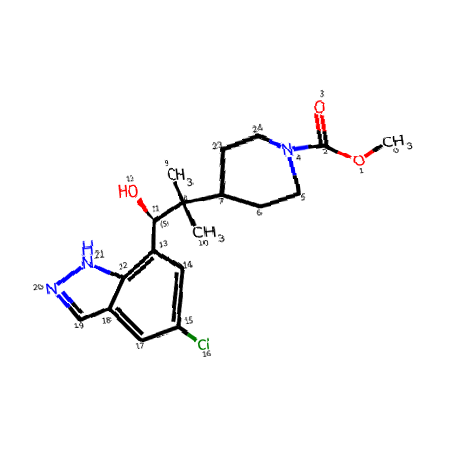 COC(=O)N1CCC(C(C)(C)[C@H](O)c2cc(Cl)cc3cn[nH]c23)CC1